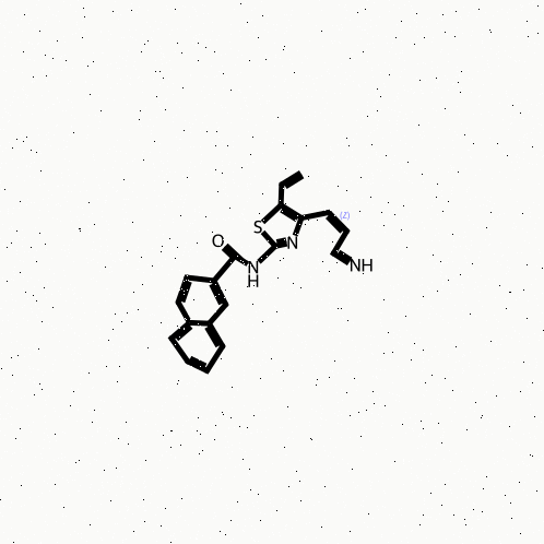 C=Cc1sc(NC(=O)c2ccc3ccccc3c2)nc1/C=C\C=N